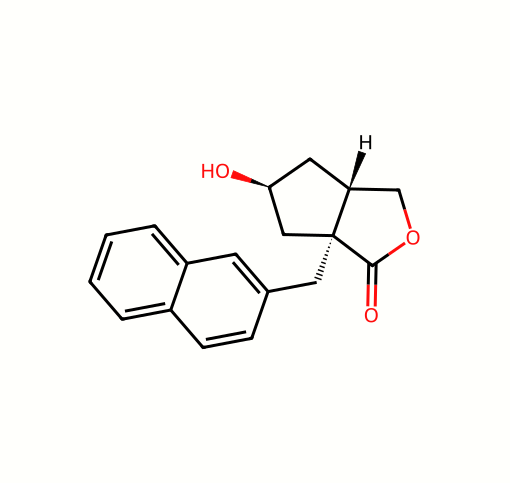 O=C1OC[C@H]2C[C@H](O)C[C@]12Cc1ccc2ccccc2c1